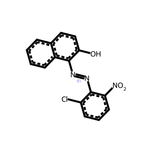 O=[N+]([O-])c1cccc(Cl)c1/N=N/c1c(O)ccc2ccccc12